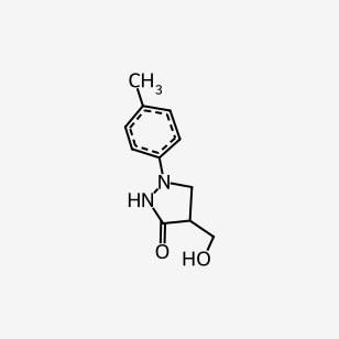 Cc1ccc(N2CC(CO)C(=O)N2)cc1